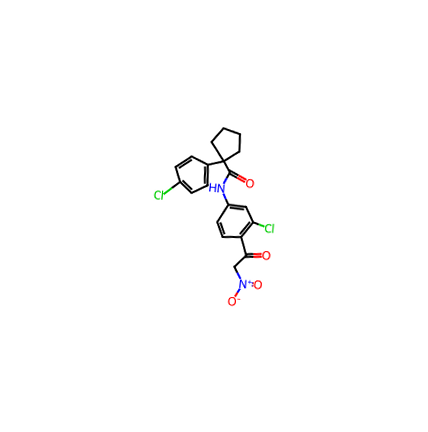 O=C(C[N+](=O)[O-])c1ccc(NC(=O)C2(c3ccc(Cl)cc3)CCCC2)cc1Cl